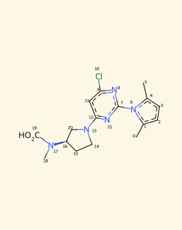 Cc1ccc(C)n1-c1nc(Cl)cc(N2CC[C@@H](N(C)C(=O)O)C2)n1